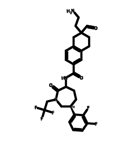 NCCC1(C=O)CCc2cc(C(=O)NC3CC[C@@H](c4cccc(F)c4F)CN(CC(F)(F)F)C3=O)ccc2C1